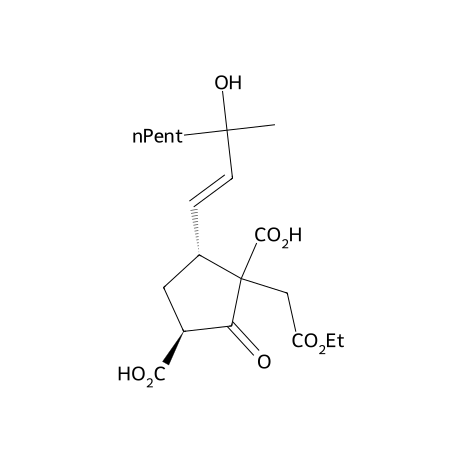 CCCCCC(C)(O)C=C[C@H]1C[C@H](C(=O)O)C(=O)C1(CC(=O)OCC)C(=O)O